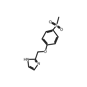 CS(=O)(=O)c1ccc(OCc2ncc[nH]2)cc1